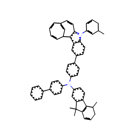 CC1C=C(n2c3c(c4cc(-c5ccc(N(c6ccc(-c7ccccc7)cc6)c6ccc7c(c6)C(C)(C)C6=C7C(C)CC=C6)cc5)ccc42)C2C=CC=CC(=C2)C=C3)C=CC1